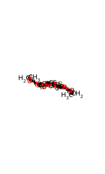 C=C(C)C(=O)OCCCCOc1ccc(C(=O)Oc2ccc(C(c3ccc(OC(=O)c4ccc(OCCCCOC(=O)C(=C)C)cc4F)cc3)(C(F)(F)F)C(F)(F)F)cc2)c(F)c1